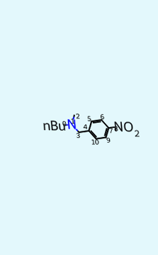 CCCCN(C)Cc1ccc([N+](=O)[O-])cc1